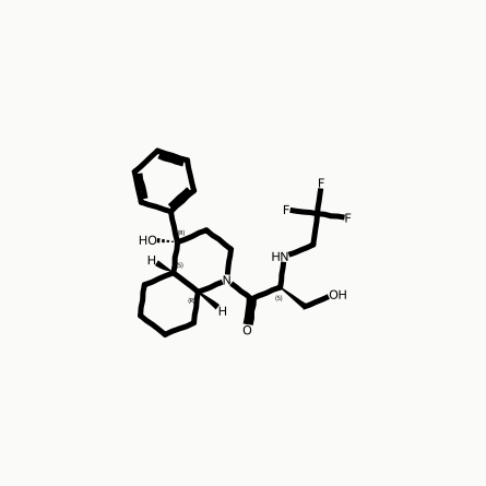 O=C([C@H](CO)NCC(F)(F)F)N1CC[C@](O)(c2ccccc2)[C@H]2CCCC[C@H]21